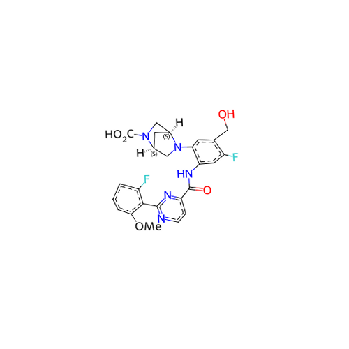 COc1cccc(F)c1-c1nccc(C(=O)Nc2cc(F)c(CO)cc2N2C[C@@H]3C[C@H]2CN3C(=O)O)n1